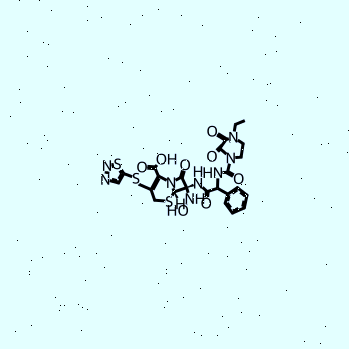 CCN1CCN(C(=O)NC(C(=O)N[C@]2(NO)C(=O)N3C(C(=O)O)=C(CSc4cnns4)CS[C@H]32)c2ccccc2)C(=O)C1=O